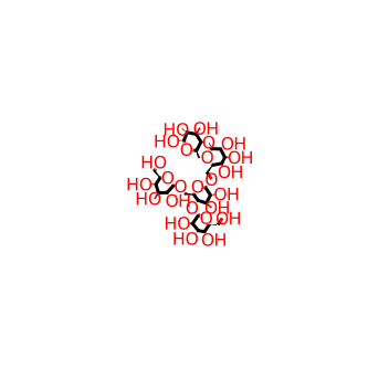 C[C@H]1O[C@H](O)[C@H](O)[C@@H](O)[C@@H]1O[C@H]1O[C@H](CO[C@H]2O[C@H](CO[C@H]3O[C@H](CO)[C@@H](O)[C@H](O)[C@H]3O)[C@@H](OC3O[C@H](CO)[C@@H](O)[C@H](O)[C@H]3O)[C@H](O)[C@H]2O)[C@@H](O)[C@H](O)[C@H]1O